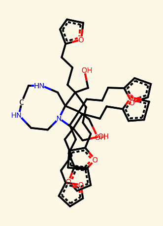 OCC(CCCc1ccco1)(CCCc1ccco1)N1CCNCCNCC1(C(CO)(CCCc1ccco1)CCCc1ccco1)C(CO)(CCCc1ccco1)CCCc1ccco1